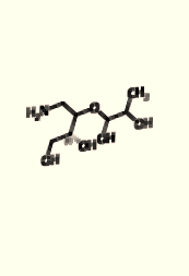 CC(O)C(O)OC(CN)[C@H](O)CO